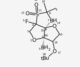 B[C@]12OCC3(F)[C@@]1(BC(C)(C)S3(=O)=O)OCC2OC(C)(C)C